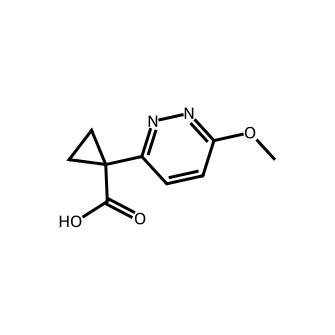 COc1ccc(C2(C(=O)O)CC2)nn1